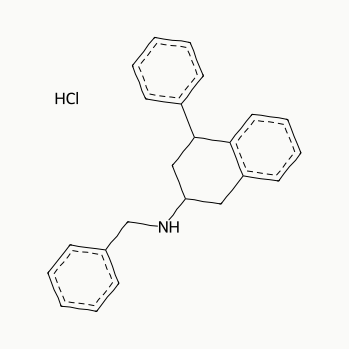 Cl.c1ccc(CNC2Cc3ccccc3C(c3ccccc3)C2)cc1